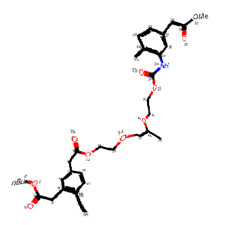 CCCCOC(=O)Cc1cc(CC(=O)OCCOCC(C)OCCOC(=O)Nc2cc(CC(=O)OC)ccc2C)ccc1C